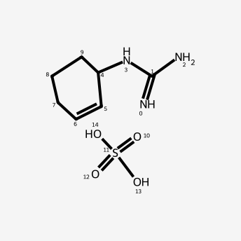 N=C(N)NC1C=CCCC1.O=S(=O)(O)O